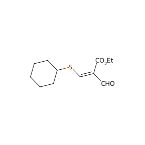 CCOC(=O)/C(C=O)=C\SC1CCCCC1